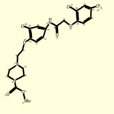 CC(C)(C)OC(=O)N1CCN(CCOc2ccc(NC(=O)COc3ccc(C(F)(F)F)cc3Cl)cc2Cl)CC1